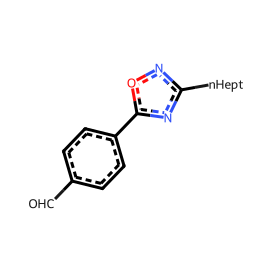 CCCCCCCc1noc(-c2ccc(C=O)cc2)n1